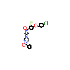 O=C(c1ccccc1)N1CCN(C2CN(C(=O)c3ccc(OCc4ccc(Cl)cc4)c(F)c3)C2)CC1